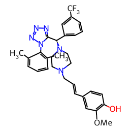 COc1cc(/C=C/CN2CCN([C@H](c3cccc(C(F)(F)F)c3)c3nnnn3-c3c(C)cccc3C)CC2)ccc1O